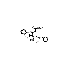 COC(=O)CC1=NN(c2ccccc2Cl)C(=O)C1=C1CN(Cc2ccccc2)CCCN1